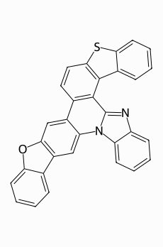 c1ccc2c(c1)nc1c3c(ccc4sc5ccccc5c43)c3cc4oc5ccccc5c4cc3n21